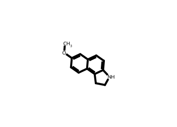 COc1ccc2c3c(ccc2c1)NCC3